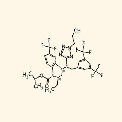 CC[C@@H]1C[C@H](N(Cc2cc(C(F)(F)F)cc(C(F)(F)F)c2)c2nnn(CCO)n2)c2cc(C(F)(F)F)ccc2N1C(=O)OC(C)C